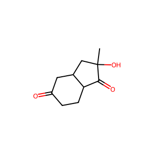 CC1(O)CC2CC(=O)CCC2C1=O